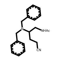 CC(=O)NCC(CCC#N)N(Cc1ccccc1)Cc1ccccc1